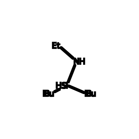 CCN[SiH](C(C)CC)C(C)CC